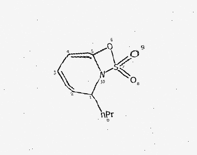 CCCC1C=CC=C2OS(=O)(=O)N21